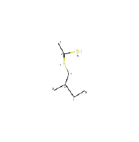 CCC(C)CSC(C)S